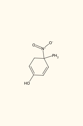 O=[N+]([O-])C1(P)C=CC(O)=CC1